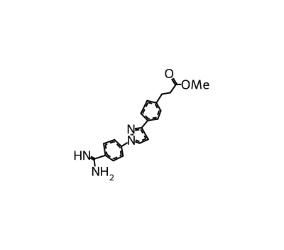 COC(=O)CCc1ccc(-c2ccn(-c3ccc(C(=N)N)cc3)n2)cc1